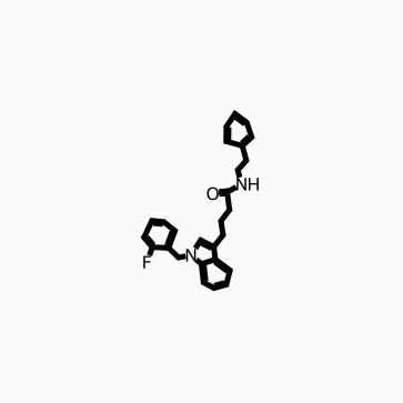 O=C(CCCc1cn(Cc2ccccc2F)c2ccccc12)NCCc1ccccc1